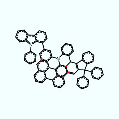 C1=CC2=C(c3ccccc3C2(c2ccccc2)c2ccccc2)C(c2ccccc2N(c2cccc(-c3cccc4c5ccccc5n(-c5ccccc5)c34)c2)c2ccccc2-c2cccc3cccc(-c4ccccc4)c23)C1